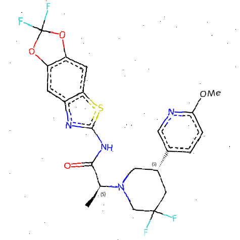 COc1ccc([C@H]2CN([C@@H](C)C(=O)Nc3nc4cc5c(cc4s3)OC(F)(F)O5)CC(F)(F)C2)cn1